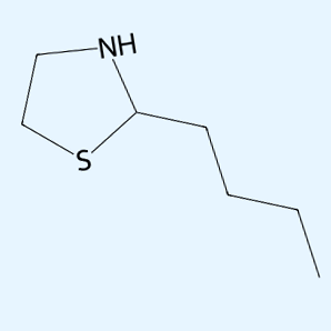 CCCCC1NCCS1